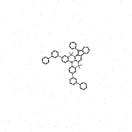 CC1(C)c2cc(-c3cccc(-c4ccccc4)c3)ccc2N2c3ccc(-c4cccc(-c5ccccc5)c4)cc3C(C)(C)c3c2c1cc1c2ccccc2n(-c2ccccc2)c31